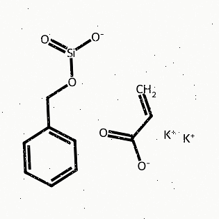 C=CC(=O)[O-].O=[Si]([O-])OCc1ccccc1.[K+].[K+]